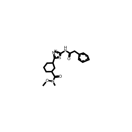 CON(C)C(=O)C1CCCC(c2nnc(NC(=O)Cc3ccccc3)s2)C1